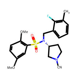 COc1ccc(OC)c(S(=O)(=O)N(Cc2cccc(C)c2F)[C@@H]2CCN(C#N)C2)c1